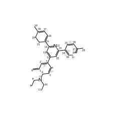 C=C/C=C(\C=C/CN(CC)CC)c1cc(C2=CC=C(C)CC2)nc(C(/C=C\C(=C)C)=C/C)c1